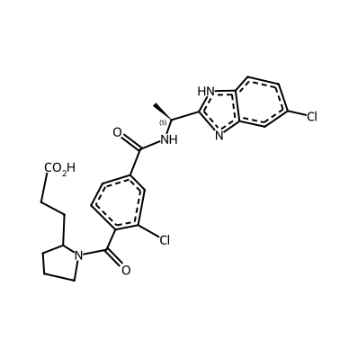 C[C@H](NC(=O)c1ccc(C(=O)N2CCCC2CCC(=O)O)c(Cl)c1)c1nc2cc(Cl)ccc2[nH]1